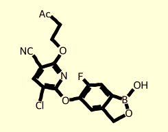 CC(=O)CCOc1nc(Oc2cc3c(cc2F)B(O)OC3)c(Cl)cc1C#N